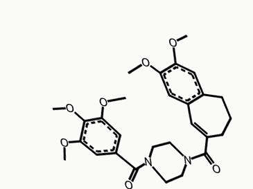 CO.COc1cc2c(cc1OC)CCCC(C(=O)N1CCN(C(=O)c3cc(OC)c(OC)c(OC)c3)CC1)=C2